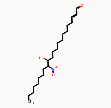 CCCCCCCCC(C(O)CCCCCCCCCC=C[C]=O)[N+](=O)[O-]